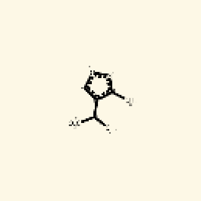 Cc1nocc1C(C)C(=O)O